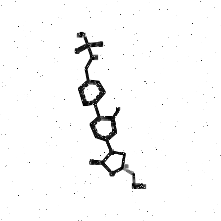 CCCS(=O)(=O)NCc1ccc(-c2ccc(N3C[C@H](CNC(C)=O)OC3=O)cc2F)cc1